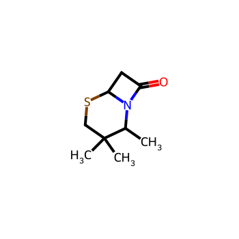 CC1N2C(=O)CC2SCC1(C)C